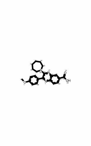 COc1ccc(-c2nc3ccc(C(=O)O)cc3nc2N2CCCCCC2)cc1